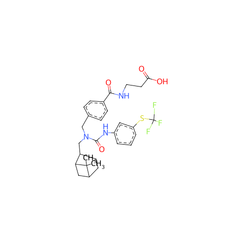 CC1(C)C2CCC(CN(Cc3ccc(C(=O)NCCC(=O)O)cc3)C(=O)Nc3cccc(SC(F)(F)F)c3)C1C2